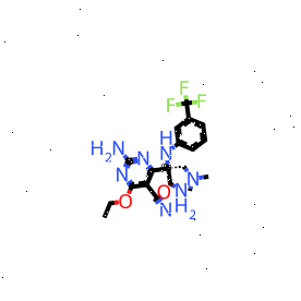 CCOc1nc(N)nc([C@@](CN(C)C)(Nc2cccc(C(F)(F)F)c2)C(N)=O)c1C#N